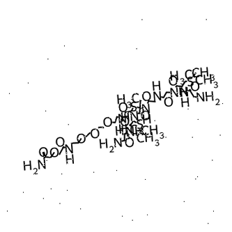 CCC(NC(=O)CNC(=O)CNC(=O)C(CSC(C)(C)C)NC(=O)CN)(SCC(=O)NCCOCCOCCOCCNC(=O)COCC(N)=O)C(=O)NC(SC(C)(C)C)C(=O)NCC(N)=O